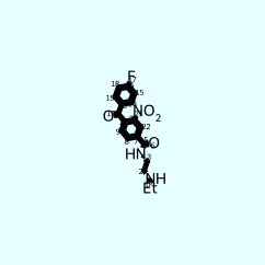 CCNCCNC(=O)c1ccc(C(=O)c2ccc(F)cc2)c([N+](=O)[O-])c1